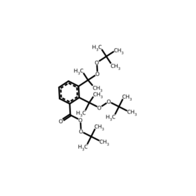 CC(C)(C)OOC(=O)c1cccc(C(C)(C)OOC(C)(C)C)c1C(C)(C)OOC(C)(C)C